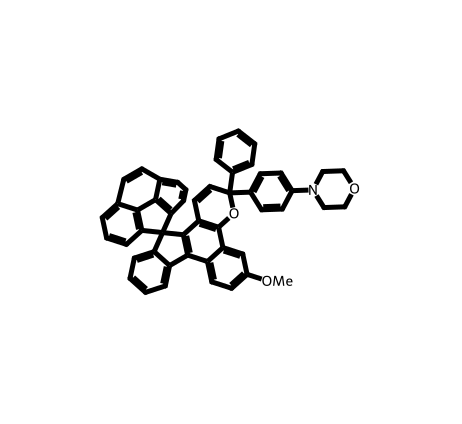 COc1ccc2c3c(c4c(c2c1)OC(c1ccccc1)(c1ccc(N2CCOCC2)cc1)C=C4)C1(c2ccccc2-3)c2cccc3ccc4cccc1c4c23